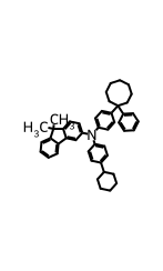 CC1(C)c2ccccc2-c2cc(N(c3ccc(C4CCCCC4)cc3)c3ccc(C4(c5ccccc5)CCCCCCC4)cc3)ccc21